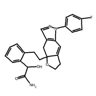 NC(=O)C(O)c1ccccc1CCC12Cc3cnn(-c4ccc(F)cc4)c3C=C1CCO2